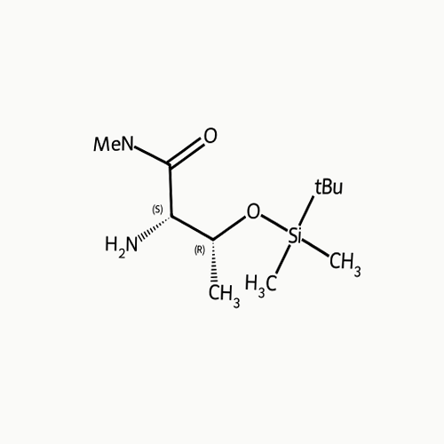 CNC(=O)[C@@H](N)[C@@H](C)O[Si](C)(C)C(C)(C)C